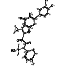 CC(C)(O)C(NC(=O)c1nn2cc(-c3ccc(Cl)c(F)c3)[nH]c(=O)c2c1C1CC1)c1ccc(F)cc1